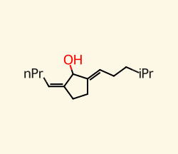 CCCC=C1CCC(=CCCC(C)C)C1O